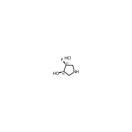 Cl.O[C@@H]1CNC[C@@H]1F